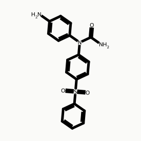 NC(=O)N(c1ccc(N)cc1)c1ccc(S(=O)(=O)c2ccccc2)cc1